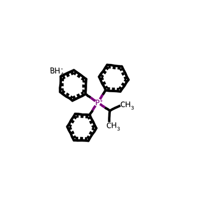 CC(C)[P+](c1ccccc1)(c1ccccc1)c1ccccc1.[BH4-]